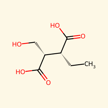 CC[C@@H](C(=O)O)[C@@H](CO)C(=O)O